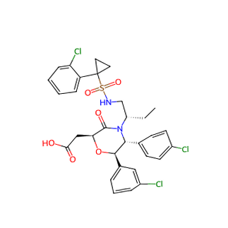 CC[C@@H](CNS(=O)(=O)C1(c2ccccc2Cl)CC1)N1C(=O)[C@H](CC(=O)O)O[C@H](c2cccc(Cl)c2)[C@H]1c1ccc(Cl)cc1